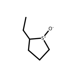 CCC1CCC[S+]1[O-]